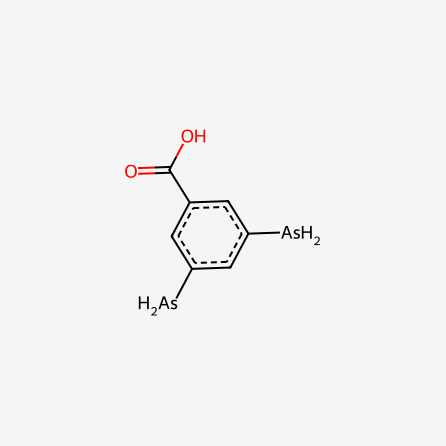 O=C(O)c1cc([AsH2])cc([AsH2])c1